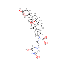 C[C@@]12CC[C@H](N(CCN3CC(=O)N[C@@H](O)C3)C(=O)O)CC1CC[C@@H]1[C@@H]2CC[C@]2(C)[C@@H](c3ccc(=O)oc3)CC[C@]12O